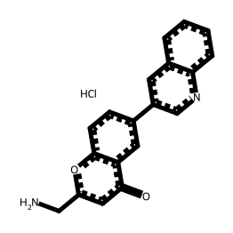 Cl.NCc1cc(=O)c2cc(-c3cnc4ccccc4c3)ccc2o1